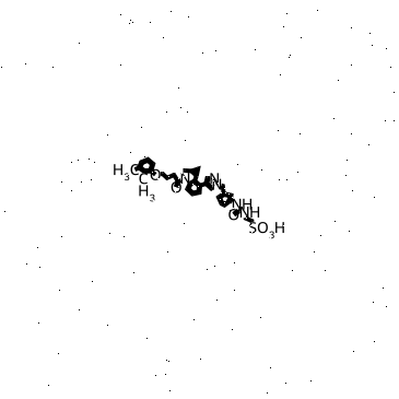 Cc1cccc(OCCCC(=O)N2CC3CC3c3c(-c4cnn(Cc5cccc(NC(=O)NCCS(=O)(=O)O)c5)c4)cccc32)c1C